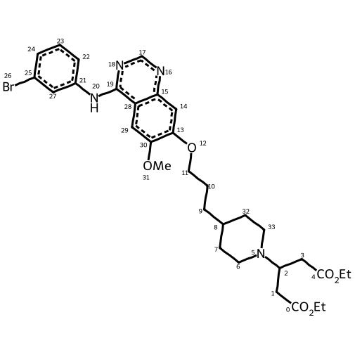 CCOC(=O)CC(CC(=O)OCC)N1CCC(CCCOc2cc3ncnc(Nc4cccc(Br)c4)c3cc2OC)CC1